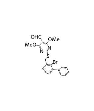 COc1nc(SCc2cccc(-c3ccccc3)c2Br)nc(OC)c1C=O